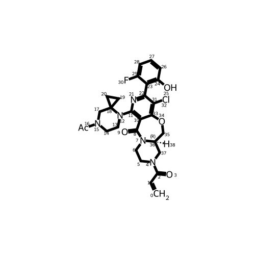 C=CC(=O)N1CCN2C(=O)c3c(N4CCN(C(C)=O)CC45CC5)nc(-c4c(O)cccc4F)c(Cl)c3OC[C@H]2C1